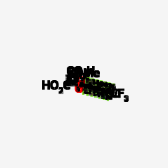 COc1c(OC(=O)C(F)(F)C(F)(F)C(F)(F)C(F)(F)C(F)(F)C(F)(F)C(F)(F)C(F)(F)F)cc(C(=O)O)cc1C(=O)O